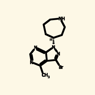 Cc1ncnc2c1c(Br)nn2[C@@H]1CCCNCC1